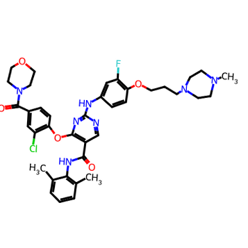 Cc1cccc(C)c1NC(=O)c1cnc(Nc2ccc(OCCCN3CCN(C)CC3)c(F)c2)nc1Oc1ccc(C(=O)N2CCOCC2)cc1Cl